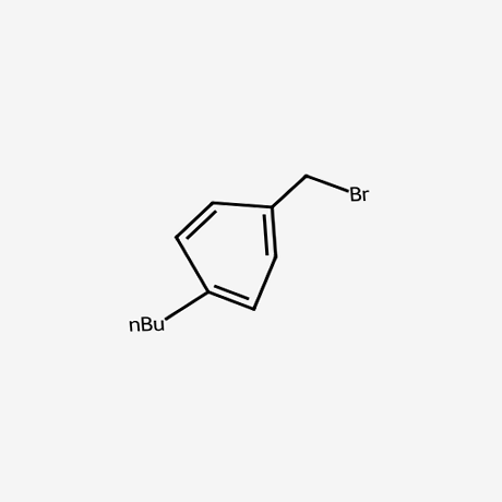 CCCCc1ccc(CBr)cc1